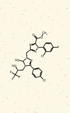 COC(=O)c1nc(CN2N=C(c3ccc(Cl)cc3)N(C[C@H](O)C(F)(F)F)C2O)nn1-c1ccc(F)cc1Cl